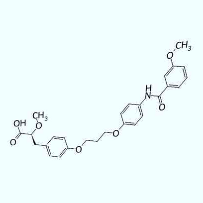 COc1cccc(C(=O)Nc2ccc(OCCCOc3ccc(C[C@H](OC)C(=O)O)cc3)cc2)c1